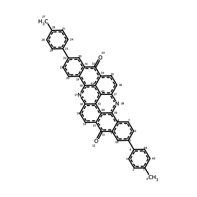 Cc1ccc(-c2ccc3c(c2)c(=O)c2ccc4nc5c6ccc(-c7ccc(C)cc7)cc6c(=O)c6ccc7nc3c2c4c7c65)cc1